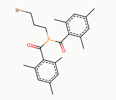 Cc1cc(C)c(C(=O)P(CCCBr)C(=O)c2c(C)cc(C)cc2C)c(C)c1